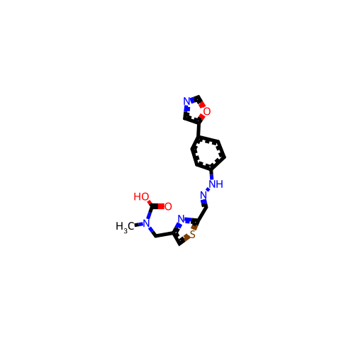 CN(Cc1csc(C=NNc2ccc(-c3cnco3)cc2)n1)C(=O)O